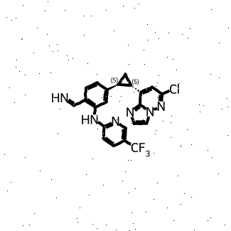 N=Cc1ccc([C@H]2C[C@@H]2c2cc(Cl)nn3ccnc23)cc1Nc1ccc(C(F)(F)F)cn1